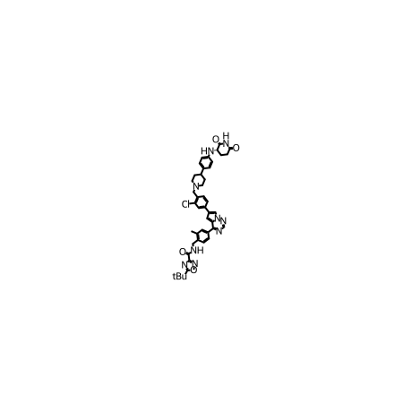 Cc1cc(-c2ncnn3cc(-c4ccc(CN5CCC(c6ccc(N[C@H]7CCC(=O)NC7=O)cc6)CC5)c(Cl)c4)cc23)ccc1CNC(=O)c1noc(C(C)(C)C)n1